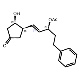 CC(=O)O[C@H](/C=C/[C@H]1CC(=O)C[C@H]1O)CCc1ccccc1